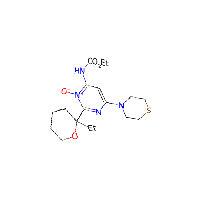 CCOC(=O)Nc1cc(N2CCSCC2)nc(C2(CC)CCCCO2)[n+]1[O-]